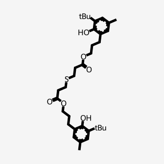 Cc1cc(CCCOC(=O)CCSCCC(=O)OCCCc2cc(C)cc(C(C)(C)C)c2O)c(O)c(C(C)(C)C)c1